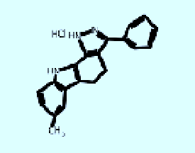 Cc1ccc2[nH]c3c(c2c1)CCc1c(-c2ccccc2)n[nH]c1-3.Cl